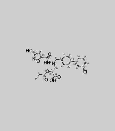 CCC(=O)O[C@H](CN(Cc1ccc(-c2cccc(Cl)c2)cc1)NC(=O)c1cc(O)no1)C(=O)O